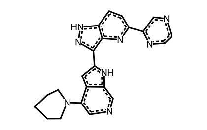 c1cnc(-c2ccc3[nH]nc(-c4cc5c(N6CCCCC6)cncc5[nH]4)c3n2)cn1